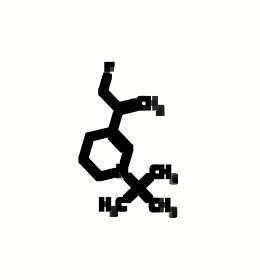 C=C(CF)C1=CN(C(C)(C)C)CCC1